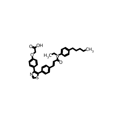 CCCCCc1ccc(N(CC)C(=O)C=Cc2ccc(-c3scnc3-c3ccc(OCC(=O)O)cc3)cc2)cc1